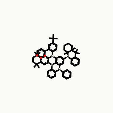 CC(C)(C)c1ccc(N2c3cc4c(cc3B3c5ccccc5N(c5ccccc5)c5cc(N6c7ccccc7C(C)(C)C7(C)CCCCC67C)cc2c53)C(C)(C)CCC4(C)C)c(-c2ccccc2)c1